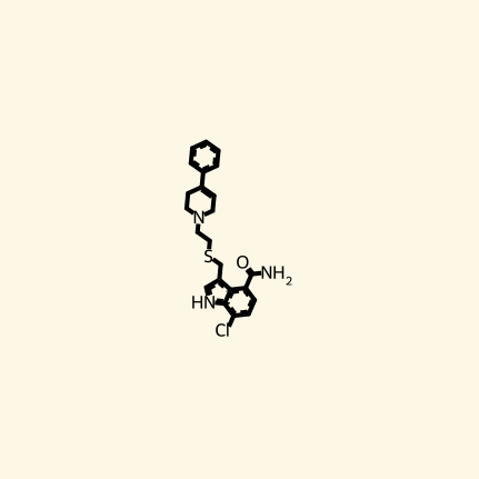 NC(=O)c1ccc(Cl)c2[nH]cc(CSCCN3CC=C(c4ccccc4)CC3)c12